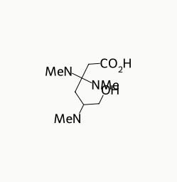 CNC(CO)CC(CC(=O)O)(NC)NC